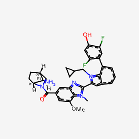 COc1cc(C(=O)N2C[C@H]3CC[C@@H]2[C@@H]3N)cc2nc(-c3cc4cccc(-c5cc(F)c(O)cc5F)c4n3CC3CC3)n(C)c12